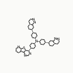 c1cnc2sc3c(-c4ccc(N(c5ccc(-c6ccc7ccnnc7c6)cc5)c5ccc(-c6ccc7ccnnc7c6)cc5)cc4)ncnc3c2c1